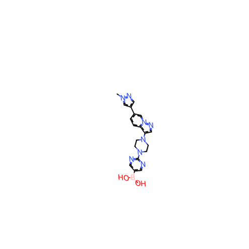 Cn1cc(-c2ccc3c(N4CCN(c5ncc(B(O)O)cn5)CC4)cnn3c2)cn1